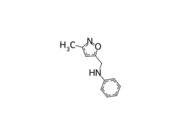 Cc1cc(CNc2ccccc2)on1